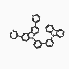 C1=NC=C(c2ccc3c(c2)c2cc(-c4cccnc4)ccc2n3-c2cccc(-c3cccc(-n4c5ccccc5c5ccccc54)c3)c2)CC1